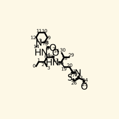 CCC(C)[C@H](NC(=O)[C@H]1CCCCN1C)C(=O)N[C@H](CCc1nc(C=O)cs1)C(C)C